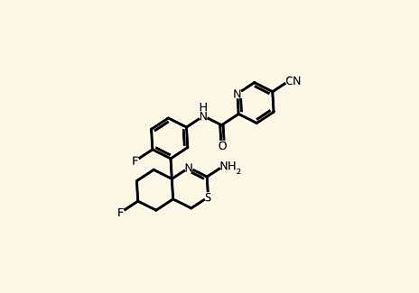 N#Cc1ccc(C(=O)Nc2ccc(F)c(C34CCC(F)CC3CSC(N)=N4)c2)nc1